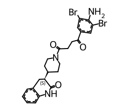 Nc1c(Br)cc(C(=O)CCC(=O)N2CCC([C@@H]3Cc4ccccc4NC3=O)CC2)cc1Br